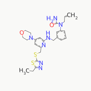 C=CCN(C(N)=O)c1cccc(CNc2cc(N3CCOCC3)cc(CSc3nnc(CC)s3)n2)c1